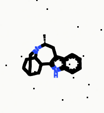 C[C@@H]1Cc2c([nH]c3ccccc23)C2CC3CCC2N1C3